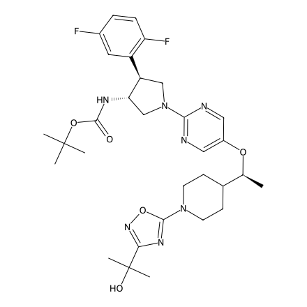 C[C@H](Oc1cnc(N2C[C@H](NC(=O)OC(C)(C)C)[C@@H](c3cc(F)ccc3F)C2)nc1)C1CCN(c2nc(C(C)(C)O)no2)CC1